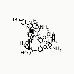 CC1NC(=O)C(N(C)C(=O)C(CCN)NC(=O)c2c(N)nc(-c3ccc(C(C)(C)C)cc3)nc2C(F)F)c2cc(OCC(O)CN)c(O)c(c2)-c2cc(ccc2OCC(O)CN)CC(C(=O)O)NC1=O